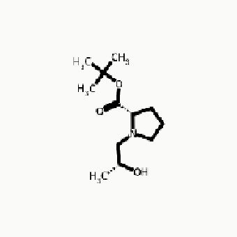 C[C@@H](O)CN1CCC[C@H]1C(=O)OC(C)(C)C